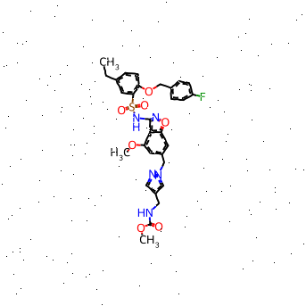 CCc1ccc(OCc2ccc(F)cc2)c(S(=O)(=O)Nc2noc3cc(Cn4cc(CNC(=O)OC)cn4)cc(OC)c23)c1